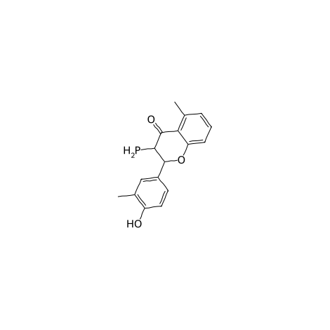 Cc1cc(C2Oc3cccc(C)c3C(=O)C2P)ccc1O